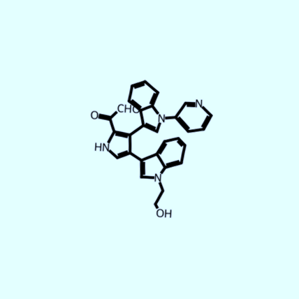 O=CC(=O)c1[nH]cc(-c2cn(CCO)c3ccccc23)c1-c1cn(-c2cccnc2)c2ccccc12